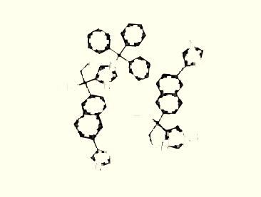 CC(C)CC(O)(c1ccc2cc(-c3cnco3)ccc2c1)c1c[nH]cn1.CC(C)CC(O)(c1ccc2cc(-c3cnco3)ccc2c1)c1cn(C(c2ccccc2)(c2ccccc2)c2ccccc2)cn1